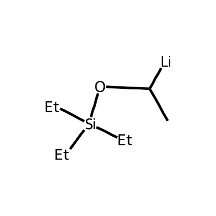 [Li][CH](C)O[Si](CC)(CC)CC